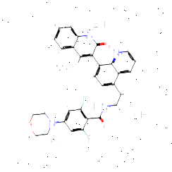 COc1c(-c2ccc(C[C@H](NC(=O)c3c(F)cc(N4CCOC[C@H]4C(F)(F)F)cc3F)C(=O)O)c3cccnc23)c(=O)n(C)c2ccccc12